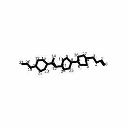 C=CCCC1CCC(C2CCC(/C=C(\C)C3CCC(CCC)CC3)CC2)CC1